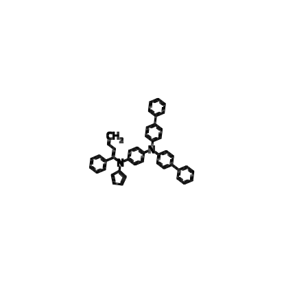 C=C/C=C(\c1ccccc1)N(C1=C=CC=C1)c1ccc(N(c2ccc(-c3ccccc3)cc2)c2ccc(-c3ccccc3)cc2)cc1